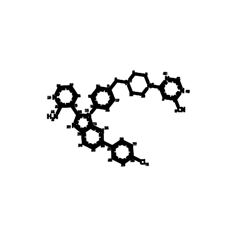 N#Cc1cc(N2CCN(Cc3ccc(-n4c(-c5cccnc5N)nc5ccc(-c6ccc(Cl)cc6)nc54)cc3)CC2)ncn1